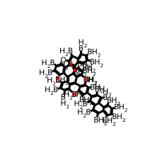 Bc1c(B)c(-c2c3c(B)c(B)c(B)c(B)c3c(-c3c(B)c(B)c(B)c4oc5c(B)c6c(B)c(B)c(B)c(B)c6c(B)c5c34)c3c(B)c(B)c(B)c(B)c23)c(B)c(B)c1-c1c(B)c(B)c2c(c1B)c(B)c(B)c1c(B)c(B)c(B)c(B)c12